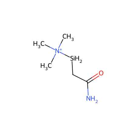 C[N+](C)(C)[SiH2]CC(N)=O